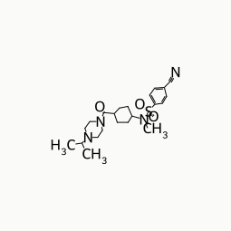 CC(C)N1CCN(C(=O)C2CCC(N(C)S(=O)(=O)c3ccc(C#N)cc3)CC2)CC1